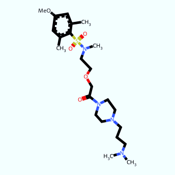 COc1cc(C)c(S(=O)(=O)N(C)CCOCC(=O)N2CCN(CCCN(C)C)CC2)c(C)c1